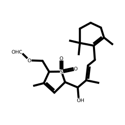 CC1=CC(C(O)/C(C)=C/CC2=C(C)CCCC2(C)C)S(=O)(=O)C1COC=O